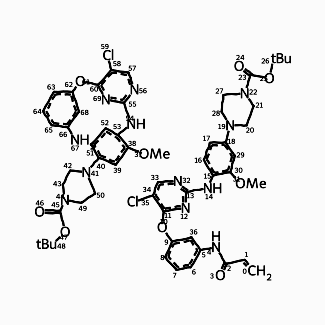 C=CC(=O)Nc1cccc(Oc2nc(Nc3ccc(N4CCN(C(=O)OC(C)(C)C)CC4)cc3OC)ncc2Cl)c1.COc1cc(N2CCN(C(=O)OC(C)(C)C)CC2)ccc1Nc1ncc(Cl)c(Oc2cccc(N)c2)n1